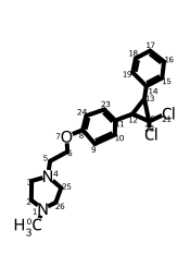 CN1CCN(CCOc2ccc(C3C(c4ccccc4)C3(Cl)Cl)cc2)CC1